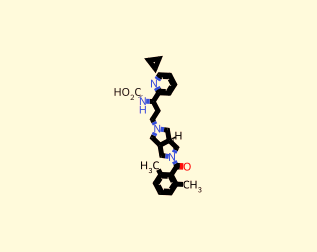 C1CC1.Cc1cccc(C)c1C(=O)N1CC2CN(CCC(NC(=O)O)c3ccccn3)C[C@H]2C1